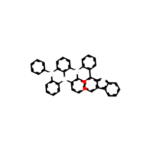 c1ccc(N2c3ccccc3B3c4ccccc4N(c4ccccc4-c4cccc5c4sc4ccccc45)c4cccc2c43)cc1